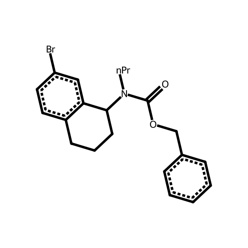 CCCN(C(=O)OCc1ccccc1)C1CCCc2ccc(Br)cc21